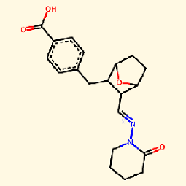 O=C(O)c1ccc(CC2C3CCC(O3)C2/C=N/N2CCCCC2=O)cc1